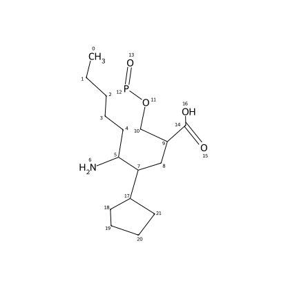 CCCCCC(N)C(CC(COP=O)C(=O)O)C1CCCC1